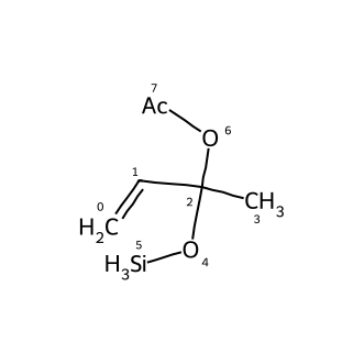 C=CC(C)(O[SiH3])OC(C)=O